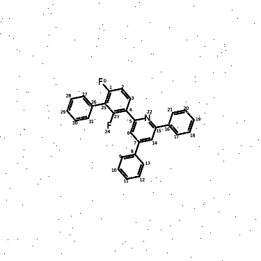 Fc1ccc(-c2cc(-c3ccccc3)cc(-c3ccccc3)n2)c(F)c1-c1ccccc1